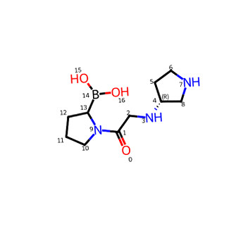 O=C(CN[C@@H]1CCNC1)N1CCCC1B(O)O